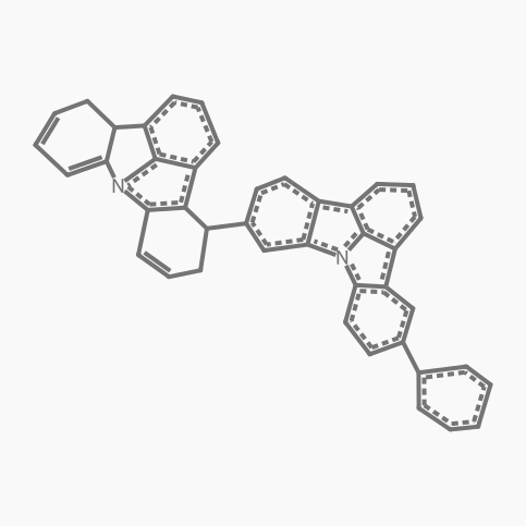 C1=CCC2C(=C1)n1c3c(c4cccc2c41)C(c1ccc2c4cccc5c6cc(-c7ccccc7)ccc6n(c2c1)c54)CC=C3